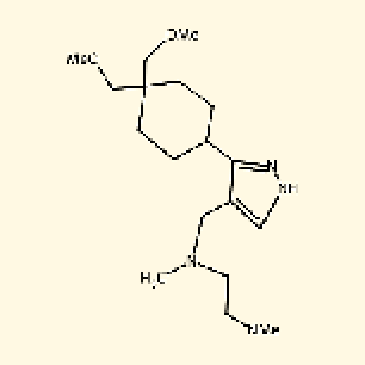 CNCCN(C)Cc1c[nH]nc1C1CCC(COC)(COC)CC1